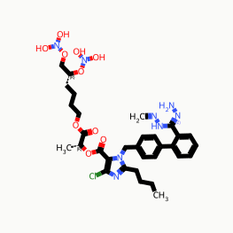 C=NN/C(=N\N)c1ccccc1-c1ccc(Cn2c(CCCC)nc(Cl)c2C(=O)O[C@H](C)C(=O)OCCCC[C@H](CON(O)O)ON(O)O)cc1